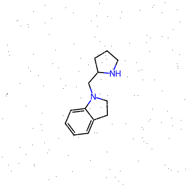 c1ccc2c(c1)CCN2CC1CCCN1